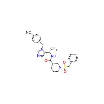 C[C@H](NC(=O)C1CCCN(S(=O)(=O)Cc2ccccc2)C1)c1cncn1Cc1ccc(C#N)cc1